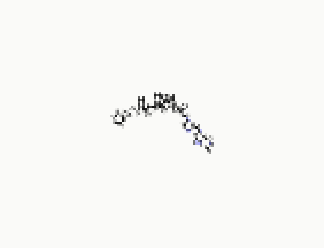 CC/C=C\C/C=C\C/C=C\C/C=C\C/C=C\CC(=O)OCC(C)(C)[C@@H](O)C(=O)NCCC(=O)NCCSCc1ccccc1